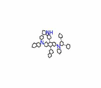 c1ccc(-c2cc(-c3ccccc3)cc(N(c3ccccc3)c3ccc4c(-c5ccc6[nH]c7ccccc7c6c5)c5cc(N(c6ccccc6)c6ccc7ccccc7c6)ccc5c(-c5ccc6ccccc6c5)c4c3)c2)cc1